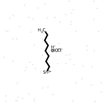 CCCCCCC[CH2][Sn+3].[Cl-].[OH-].[OH-]